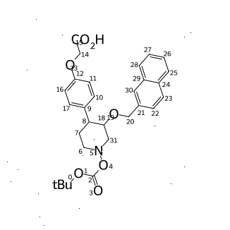 CC(C)(C)OC(=O)ON1CCC(c2ccc(OCC(=O)O)cc2)C(OCc2ccc3ccccc3c2)C1